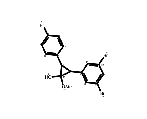 CCc1ccc(C2C(c3cc(Br)cc(Br)c3)C2(O)OC)cc1